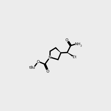 CC[C@H](C(N)=O)[C@@H]1CCN(C(=O)OC(C)(C)C)C1